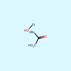 CCCCC(=O)C(=O)O.CCO